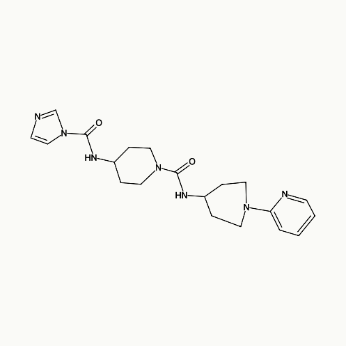 O=C(NC1CCN(c2ccccn2)CC1)N1CCC(NC(=O)n2ccnc2)CC1